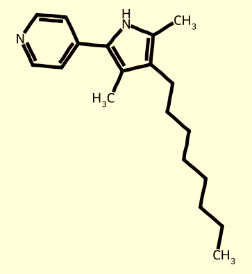 CCCCCCCCc1c(C)[nH]c(-c2ccncc2)c1C